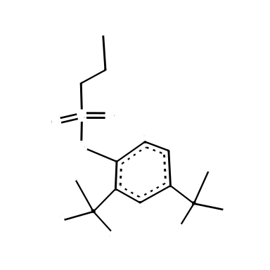 CCCS(=O)(=O)Oc1ccc(C(C)(C)C)cc1C(C)(C)C